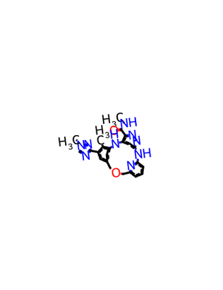 CNC(=O)c1nnc2cc1Nc1cc(cc(-c3ncn(C)n3)c1C)COCc1cccc(n1)N2